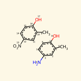 Cc1cc(N)ccc1O.Cc1cc([N+](=O)[O-])ccc1O